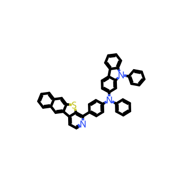 c1ccc(N(c2ccc(-c3nccc4c3sc3cc5ccccc5cc34)cc2)c2ccc3c4ccccc4n(-c4ccccc4)c3c2)cc1